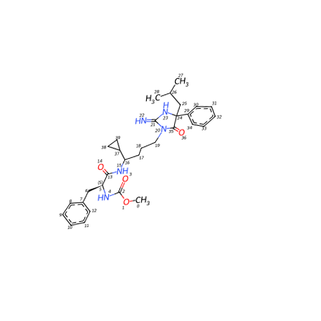 COC(=O)N[C@@H](Cc1ccccc1)C(=O)NC(CCCN1C(=N)NC(CC(C)C)(c2ccccc2)C1=O)C1CC1